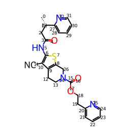 C[C@@H](CC(=O)Nc1sc2c(c1C#N)CCN(C(=O)OCCc1ccccn1)C2)c1ccccn1